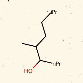 CCCC(O)C(C)CCC(C)C